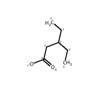 CCC(CC)CC([O])=O